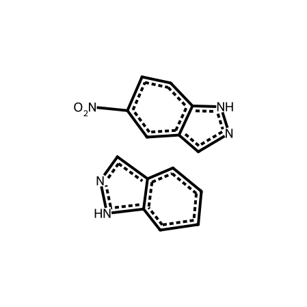 O=[N+]([O-])c1ccc2[nH]ncc2c1.c1ccc2[nH]ncc2c1